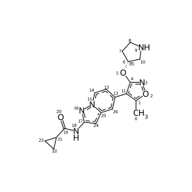 Cc1onc(O[C@@H]2CCNC2)c1-c1ccn2nc(NC(=O)C3CC3)cc2c1